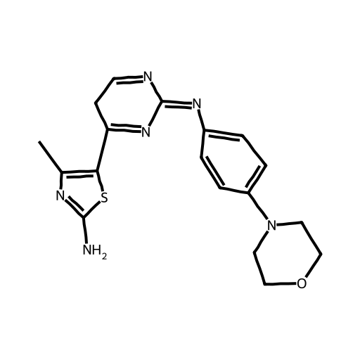 Cc1nc(N)sc1C1=N/C(=N\c2ccc(N3CCOCC3)cc2)N=CC1